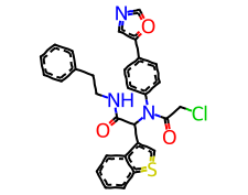 O=C(NCCc1ccccc1)C(c1csc2ccccc12)N(C(=O)CCl)c1ccc(-c2cnco2)cc1